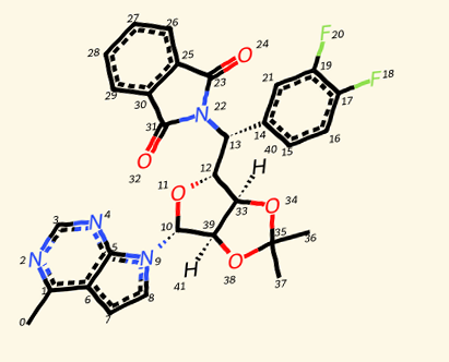 Cc1ncnc2c1ccn2[C@@H]1O[C@H]([C@@H](c2ccc(F)c(F)c2)N2C(=O)c3ccccc3C2=O)[C@H]2OC(C)(C)O[C@H]21